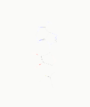 CS[C](C)C[C@H]1O[C@@H](n2cnc3c(N)ncnc32)[C@H](O)[C@@H]1O